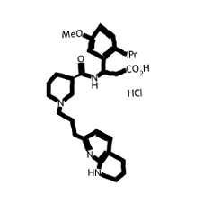 COc1ccc(C(C)C)c(C(CC(=O)O)NC(=O)[C@@H]2CCCN(CCCc3ccc4c(n3)NCCC4)C2)c1.Cl